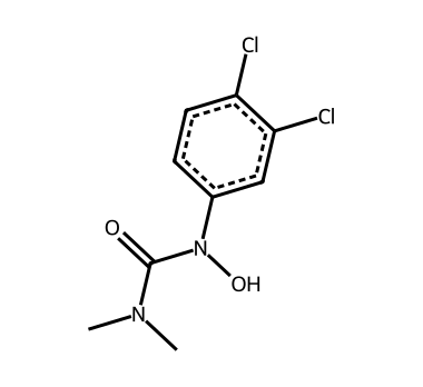 CN(C)C(=O)N(O)c1ccc(Cl)c(Cl)c1